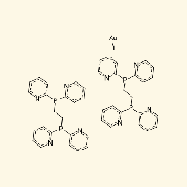 [I][Au].c1ccc(P(CCP(c2ccccn2)c2ccccn2)c2ccccn2)nc1.c1ccc(P(CCP(c2ccccn2)c2ccccn2)c2ccccn2)nc1